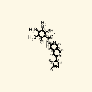 Bc1c(B)c(B)c(C(=O)Nc2cc3cc(-c4cnc(C)n4C)ncc3cn2)c(Cl)c1B